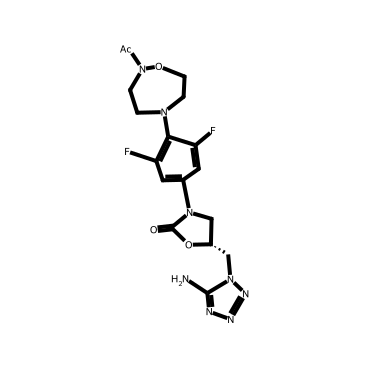 CC(=O)N1CCN(c2c(F)cc(N3C[C@H](Cn4nnnc4N)OC3=O)cc2F)CCO1